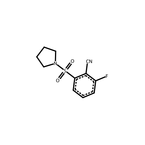 N#Cc1c(F)cccc1S(=O)(=O)N1CCCC1